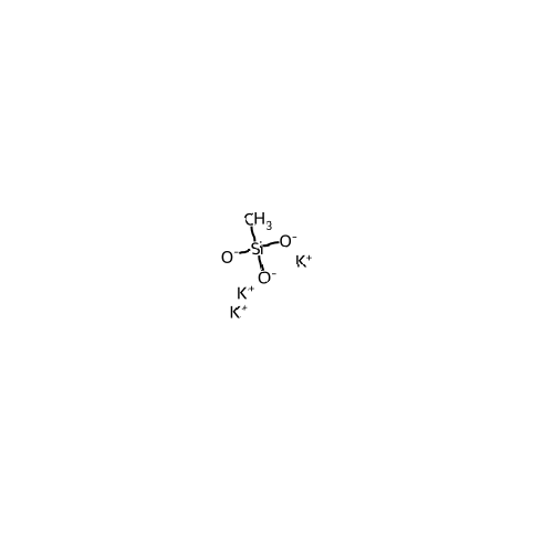 C[Si]([O-])([O-])[O-].[K+].[K+].[K+]